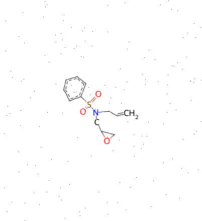 C=CCN(CC1CO1)S(=O)(=O)c1ccccc1